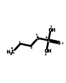 CCCSP(O)(O)=S